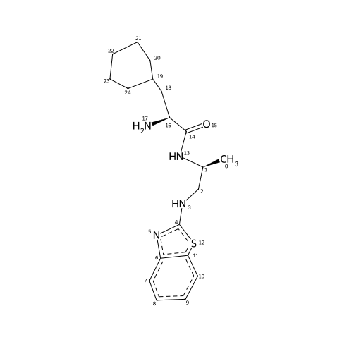 C[C@@H](CNc1nc2ccccc2s1)NC(=O)[C@@H](N)CC1CCCCC1